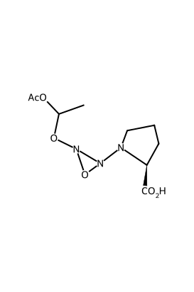 CC(=O)OC(C)On1on1N1CCC[C@H]1C(=O)O